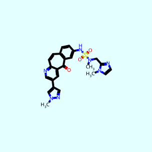 CN(Cc1nccn1C)S(=O)(=O)Nc1ccc2ccc3ncc(-c4cnn(C)c4)cc3c(=O)c2c1